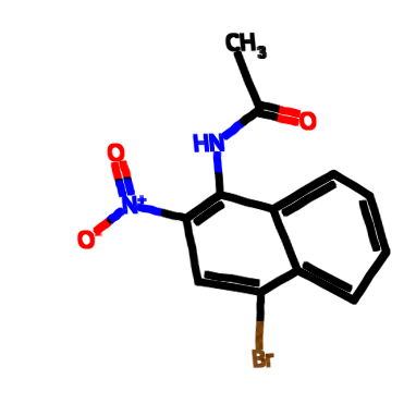 CC(=O)Nc1c([N+](=O)[O-])cc(Br)c2ccccc12